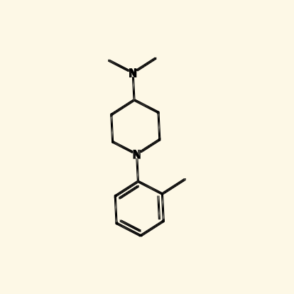 Cc1ccccc1N1CCC(N(C)C)CC1